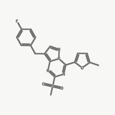 Cc1ccc(-c2nc(S(C)(=O)=O)nc3c(Cc4ccc(F)cc4)cnn23)o1